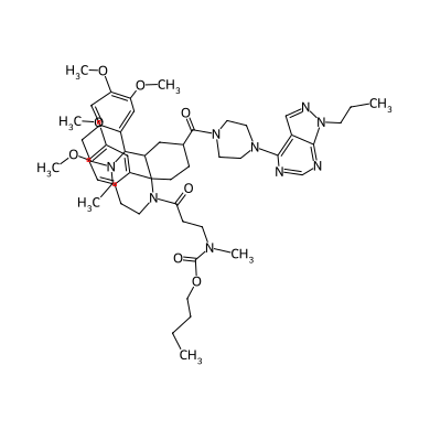 CCCCOC(=O)N(C)CCC(=O)N1CCc2cc(OC)c(OC)cc2C12CCC(C(=O)N1CCN(c3ncnc4c3cnn4CCC)CC1)CC2C1c2cc(OC)c(OC)cc2CCN1CC